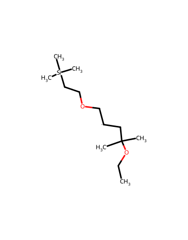 CCOC(C)(C)C[CH]COCC[Si](C)(C)C